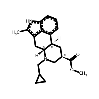 COC(=O)[C@@H]1C[C@@H]2c3cccc4[nH]c(C)c(c34)C[C@H]2N(CC2CC2)C1